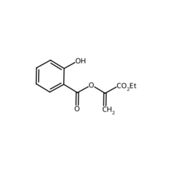 C=C(OC(=O)c1ccccc1O)C(=O)OCC